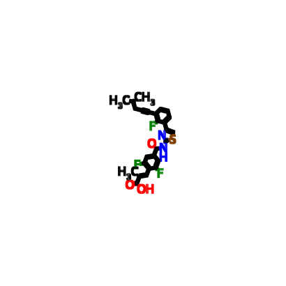 CC(=Cc1c(F)cc(C(=O)Nc2nc(-c3cccc(C#CCC(C)C)c3F)cs2)cc1F)C(=O)O